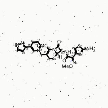 CO/N=C(\C(=O)N[C@@H]1C(=O)N2C(C(=O)[O-])=C(C[n+]3cccc(-c4cc[nH]n4)c3)CS[C@@H]12)c1csc(N)n1